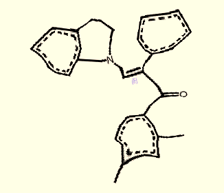 Cc1ccc(C(=O)/C(=C/N2CCc3ccccc32)c2ccccc2)c(C)c1